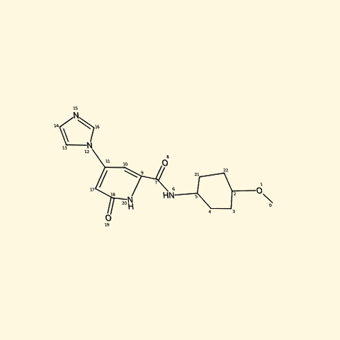 COC1CCC(NC(=O)c2cc(-n3ccnc3)cc(=O)[nH]2)CC1